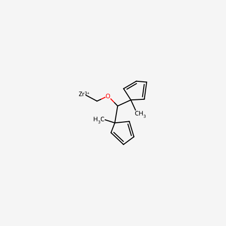 CC1(C(O[CH2][Zr+3])C2(C)C=CC=C2)C=CC=C1